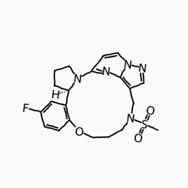 CS(=O)(=O)N1CCCOc2ccc(F)cc2[C@H]2CCCN2c2ccn3ncc(c3n2)C1